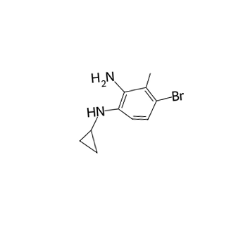 Cc1c(Br)ccc(NC2CC2)c1N